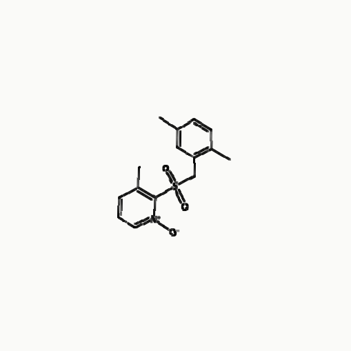 Cc1ccc(C)c(CS(=O)(=O)c2c(C)ccc[n+]2[O-])c1